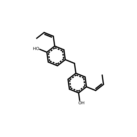 C/C=C\c1cc(Cc2ccc(O)c(/C=C\C)c2)ccc1O